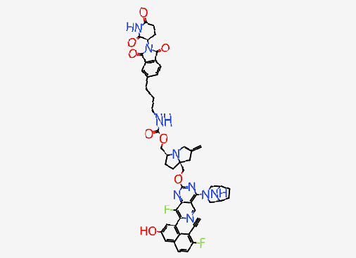 C#Cc1c(F)ccc2cc(O)cc(-c3ncc4c(N5CC6CCC(C5)N6)nc(OC[C@@]56CC[C@@H](COC(=O)NCCCc7ccc8c(c7)C(=O)N(C7CCC(=O)NC7=O)C8=O)N5CC(=C)C6)nc4c3F)c12